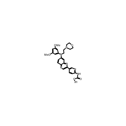 COc1cc(OC)cc(N(CCN2CCOCC2)c2ccc3ncc(-c4ccc(NC(=O)OC(C)C)nc4)nc3c2)c1